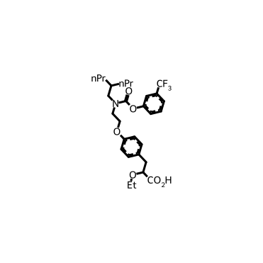 CCCC(CCC)CN(CCOc1ccc(CC(OCC)C(=O)O)cc1)C(=O)Oc1cccc(C(F)(F)F)c1